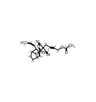 C=C=CC1C(C(C#N)(C#N)CC#CCOC(C)=O)=CC2CCC1N2C(=O)O